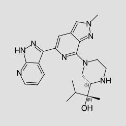 CC(C)[C@@](C)(O)[C@@H]1CN(c2nc(-c3n[nH]c4ncccc34)cc3cn(C)nc23)CCN1